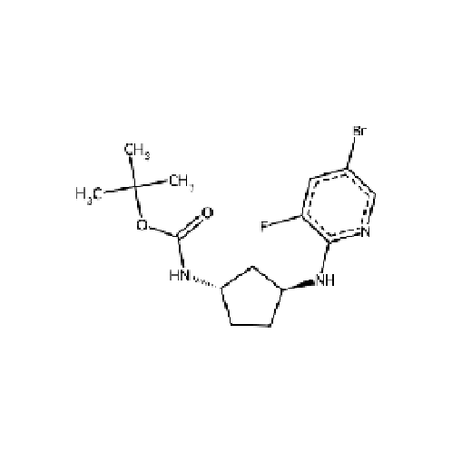 CC(C)(C)OC(=O)N[C@H]1CC[C@H](Nc2ncc(Br)cc2F)C1